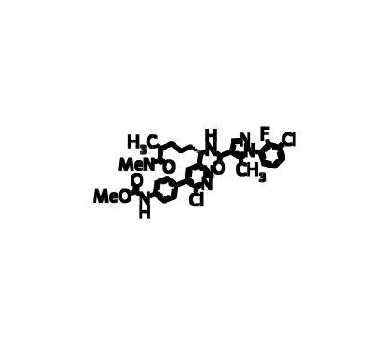 CNC(=O)[C@@H](C)CCC[C@H](NC(=O)c1cnn(-c2cccc(Cl)c2F)c1C)c1cc(-c2ccc(NC(=O)OC)cc2)c(Cl)nn1